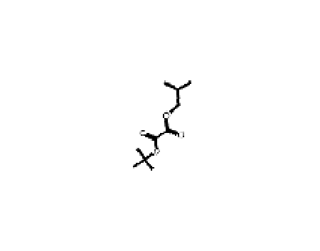 CC(C)COC(=O)C(=O)OC(C)(C)C